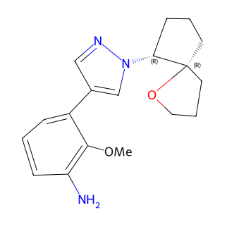 COc1c(N)cccc1-c1cnn([C@@H]2CCC[C@@]23CCCO3)c1